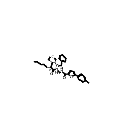 CCCCC[C@@H](C(=O)NCNC(=O)c1ccc(-c2ccc(C)cc2)o1)[C@@H](CC)N(C=O)OCc1ccccc1